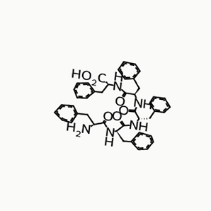 N[C@@H](Cc1ccccc1)C(=O)N[C@H](Cc1ccccc1)C(=O)N[C@@H](Cc1ccccc1)C(=O)N[C@H](Cc1ccccc1)C(=O)N[C@@H](Cc1ccccc1)C(=O)O